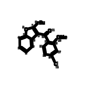 CCCCc1oc2ccccc2c1C(=O)c1ccc(Cl)cc1OC